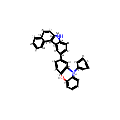 c1ccc(N2c3ccccc3Oc3ccc(-c4ccc5[nH]c6ccc7ccccc7c6c5c4)cc32)cc1